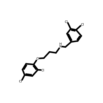 Clc1ccc(OCCCNCc2ccc(Cl)c(Cl)c2)c(Cl)c1